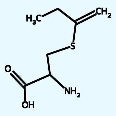 C=C(CC)SCC(N)C(=O)O